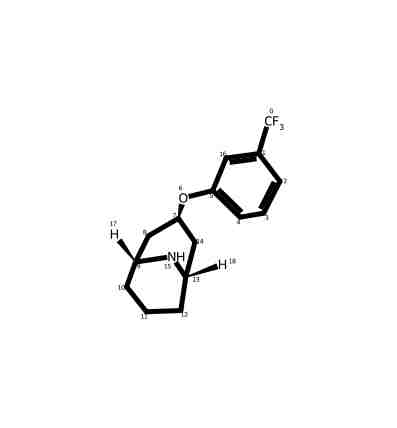 FC(F)(F)c1cccc(O[C@@H]2C[C@H]3CCC[C@@H](C2)N3)c1